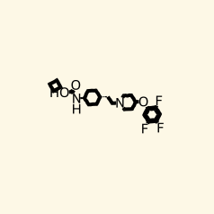 C1CCC1.O=C(O)N[C@H]1CC[C@H](CCN2CCC(Oc3cc(F)c(F)cc3F)CC2)CC1